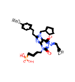 C#CCn1c(=O)c2c(nc(CCc3ccc(OC)cc3)n2CC2CCCC2)n(CCCCP(=O)(O)O)c1=O